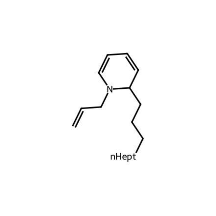 C=CCN1C=CC=CC1CCCCCCCCCC